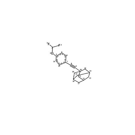 FC(F)Oc1ccc(C#CC23CC4CC(CC(C4)C2)C3)cc1